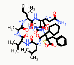 CC[C@H](C)[C@H](NC(=O)[C@H](C)NC(=O)[C@@H](NC(=O)[C@H](CC(C)C)NC(=O)[C@@](C1CCCCC1)(N(C(C)=O)C(=O)CN)C1(Cc2ccccc2)SOC1=O)C(C)C)C(=O)N[C@@H](CCC(N)=O)C(N)=O